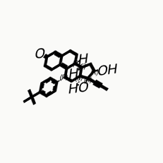 CC#C[C@@]1(O)[C@H](O)C[C@H]2[C@@H]3CCC4=CC(=O)CCC4=C3[C@@H](c3ccc(C(C)(C)C)cc3)C[C@@]21C